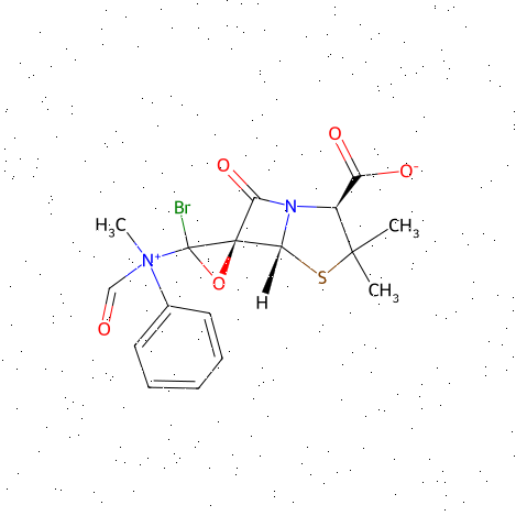 CC1(C)S[C@H]2N(C(=O)[C@]23OC3(Br)[N+](C)(C=O)c2ccccc2)[C@H]1C(=O)[O-]